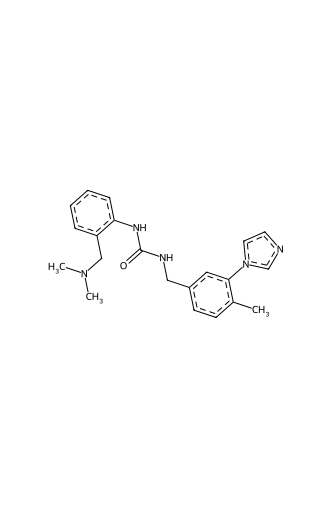 Cc1ccc(CNC(=O)Nc2ccccc2CN(C)C)cc1-n1ccnc1